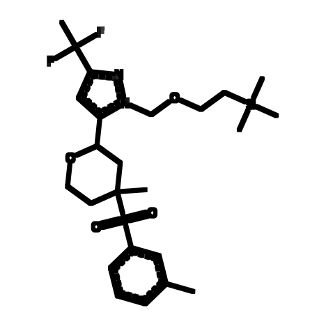 Cc1cccc(S(=O)(=O)C2(C)CCOC(c3cc(C(C)(F)F)nn3COCC[Si](C)(C)C)C2)c1